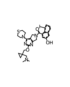 CN(C)CC1(COc2nc3c(c(N4CCSCC4)n2)CN(C(=O)c2cc(O)cc4cccc(I)c24)C3)CC1